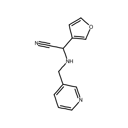 N#CC(NCc1cccnc1)c1ccoc1